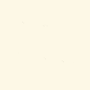 CCN1CCN(Cc2cc(OC)c([N+](=O)[O-])cc2Cl)CC1